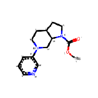 CC(C)(C)OC(=O)N1CCC2CCN(c3cccnc3)CC21